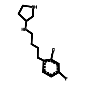 Fc1ccc(CCCCNC2CCNC2)c(Cl)c1